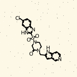 O=C1CN(S(=O)(=O)c2nc3ccc(Cl)cc3[nH]2)CCN1Cc1cc2cnccc2[nH]1